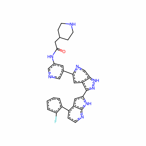 O=C(CC1CCNCC1)Nc1cncc(-c2cc3c(-c4cc5c(-c6ccccc6F)ccnc5[nH]4)n[nH]c3cn2)c1